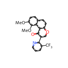 COc1ccc2ccc3occ(-c4ncccc4C(F)(F)F)c(=O)c3c2c1OC